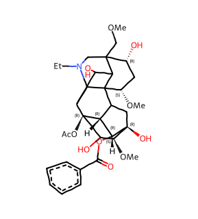 CCN1CC2(COC)C3C(O)C4C1C3(C1C[C@@]3(O)[C@H](OC(=O)c5ccccc5)[C@@H]1[C@]4(OC(C)=O)C(O)[C@@H]3OC)[C@@H](OC)C[C@H]2O